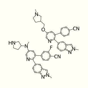 CN(c1cnc(-c2ccc3nn(C)cc3c2)c(-c2ccc(C#N)c(F)c2)c1)C1CCNC1.CN1CCC(COc2cnc(-c3ccc4nn(C)cc4c3)c(-c3ccc(C#N)cc3)c2)C1